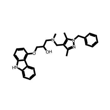 Cc1nn(Cc2ccccc2)c(C)c1CN(C)CC(O)COc1cccc2[nH]c3ccccc3c12